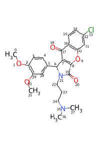 COc1ccc(C2c3c(oc4cc(Cl)ccc4c3=O)C(=O)N2CCCN(C)C)cc1OC